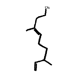 C=CC(C)CCC=C(C)CCC#N